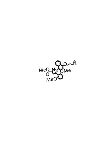 COC(=O)c1cc(-c2c(OC)cccc2OC)n(-c2ccc(OCCCN(C)C)c3ccccc23)n1